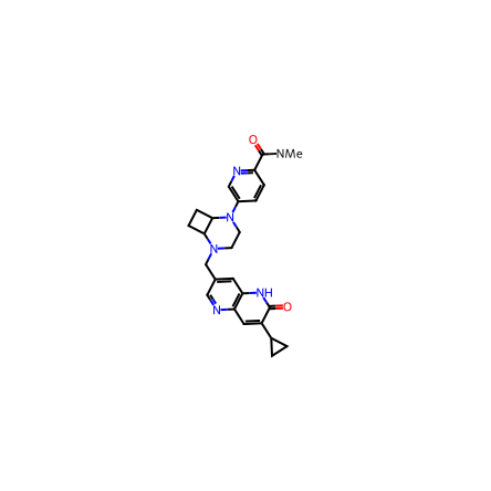 CNC(=O)c1ccc(N2CCN(Cc3cnc4cc(C5CC5)c(=O)[nH]c4c3)C3CCC32)cn1